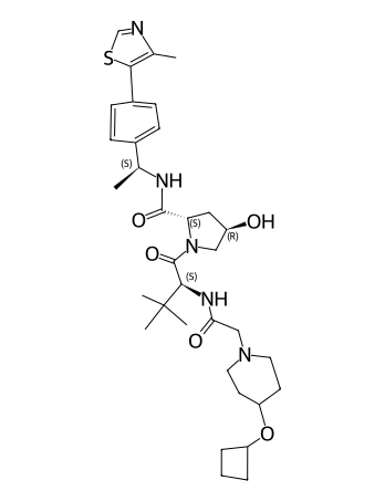 Cc1ncsc1-c1ccc([C@H](C)NC(=O)[C@@H]2C[C@@H](O)CN2C(=O)[C@@H](NC(=O)CN2CCC(OC3CCC3)CC2)C(C)(C)C)cc1